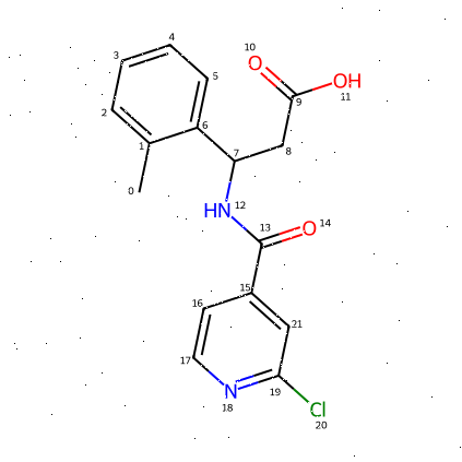 Cc1ccccc1C(CC(=O)O)NC(=O)c1ccnc(Cl)c1